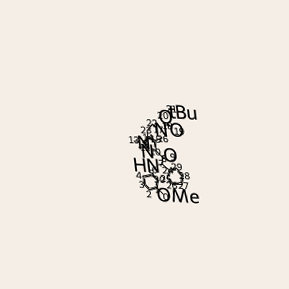 COc1cccc(NC(C(=O)c2nn(C)c3c2CN(C(=O)OC(C)(C)C)CC3)c2ccccc2)c1